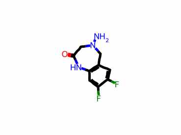 NN1CC(=O)Nc2cc(F)c(F)cc2C1